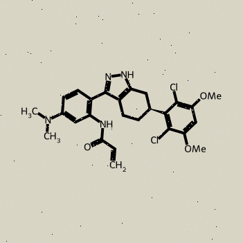 C=CC(=O)Nc1cc(N(C)C)ccc1-c1n[nH]c2c1CC[C@H](c1c(Cl)c(OC)cc(OC)c1Cl)C2